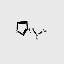 CC(=O)NN.c1ccsc1